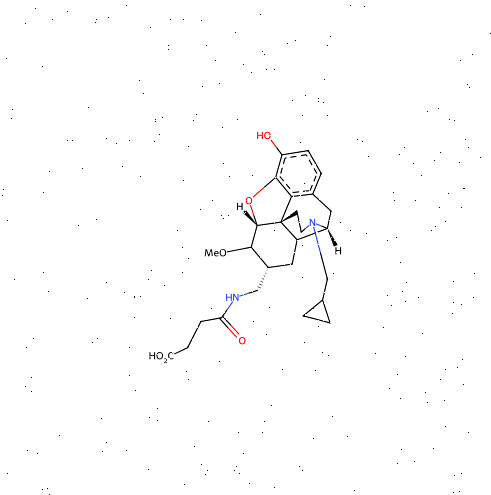 COC1[C@@H](CNC(=O)CCC(=O)O)CC2[C@H]3Cc4ccc(O)c5c4[C@@]2(CCN3CC2CC2)[C@H]1O5